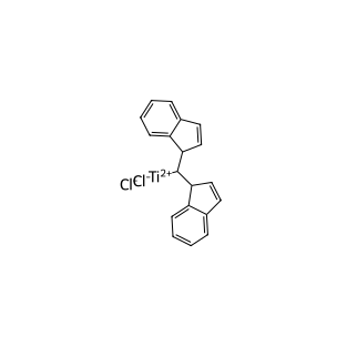 [Cl-].[Cl-].[Ti+2][CH](C1C=Cc2ccccc21)C1C=Cc2ccccc21